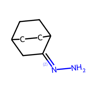 N/N=C1/CC2CCC1CC2